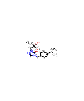 CC(C)c1ccc(Cn2cnn(CC(C)(C)O)c2=O)cc1